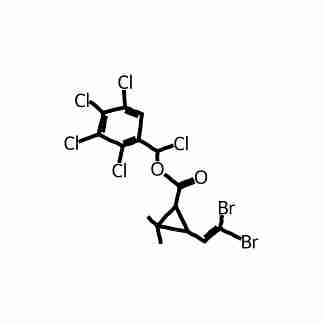 CC1(C)C(C=C(Br)Br)C1C(=O)OC(Cl)c1cc(Cl)c(Cl)c(Cl)c1Cl